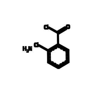 N.O=C(Cl)c1ccccc1Cl